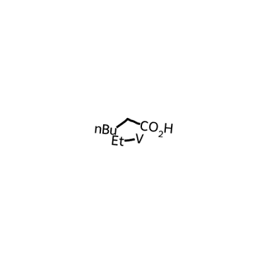 CCCCCC(=O)O.C[CH2][V]